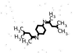 CC(CC(C)C)=NC1CCC(N=C(C)CC(C)C)CC1